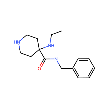 CCNC1(C(=O)NCc2ccccc2)CCNCC1